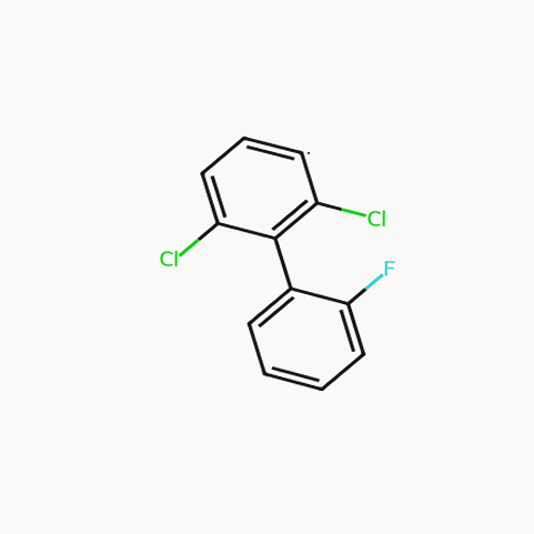 Fc1ccccc1-c1c(Cl)[c]ccc1Cl